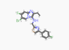 CCc1nc2cc(F)c(Br)cn2c1NCc1nc(-c2ccc(F)cc2)cs1